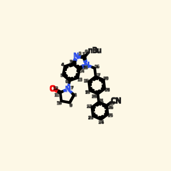 CCCCc1nc2ccc(N3CCCC3=O)cc2n1Cc1ccc(-c2ccccc2C#N)cc1